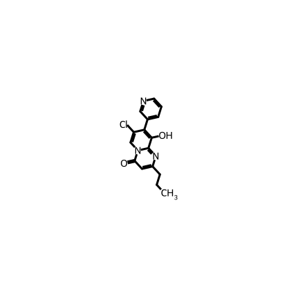 CCCc1cc(=O)n2cc(Cl)c(-c3cccnc3)c(O)c2n1